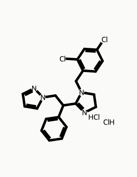 Cl.Cl.Clc1ccc(CN2CCN=C2C(Cn2cccn2)c2ccccc2)c(Cl)c1